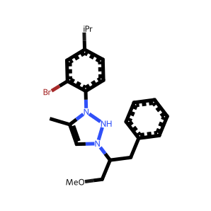 COCC(Cc1ccccc1)N1C=C(C)N(c2ccc(C(C)C)cc2Br)N1